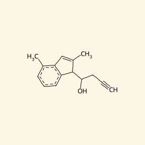 C#CCC(O)C1C(C)=Cc2c(C)cccc21